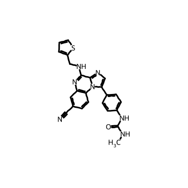 CNC(=O)Nc1ccc(-c2cnc3c(NCc4cccs4)nc4cc(C#N)ccc4n23)cc1